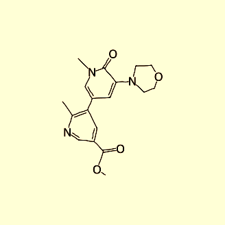 COC(=O)c1cnc(C)c(-c2cc(N3CCOCC3)c(=O)n(C)c2)c1